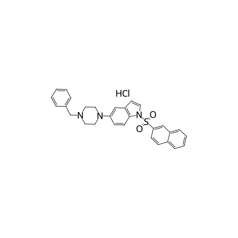 Cl.O=S(=O)(c1ccc2ccccc2c1)n1ccc2cc(N3CCN(Cc4ccccc4)CC3)ccc21